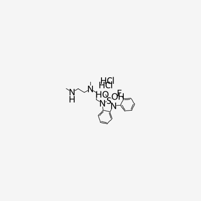 CNCCN(C)CCN1c2ccccc2N(c2ccccc2F)S1(O)O.Cl.Cl